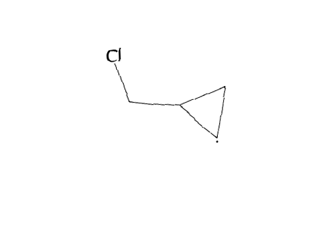 ClCC1[CH]C1